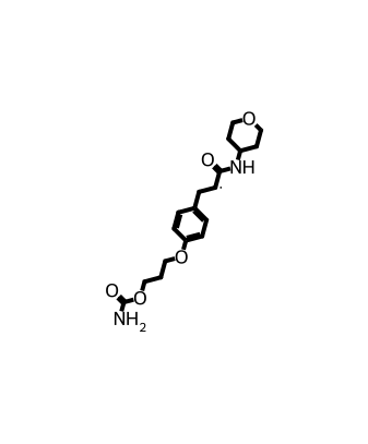 NC(=O)OCCCOc1ccc(C[CH]C(=O)NC2CCOCC2)cc1